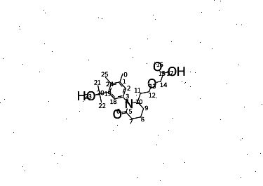 Cc1cc(N2C(=O)CCCC2CCOCC(=O)O)cc(C(C)(C)O)c1C